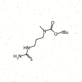 CN(CCCNC(N)=S)C(=O)OC(C)(C)C